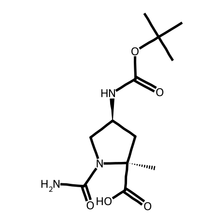 CC(C)(C)OC(=O)N[C@@H]1CN(C(N)=O)[C@](C)(C(=O)O)C1